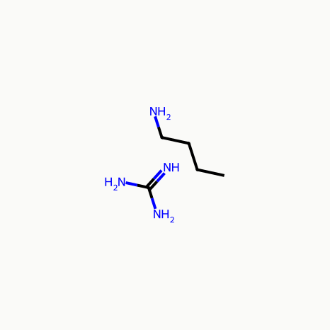 CCCCN.N=C(N)N